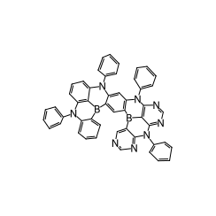 c1ccc(N2c3ccccc3B3c4cc5c(cc4N(c4ccccc4)c4cccc2c43)N(c2ccccc2)c2ncnc3c2B5c2cncnc2N3c2ccccc2)cc1